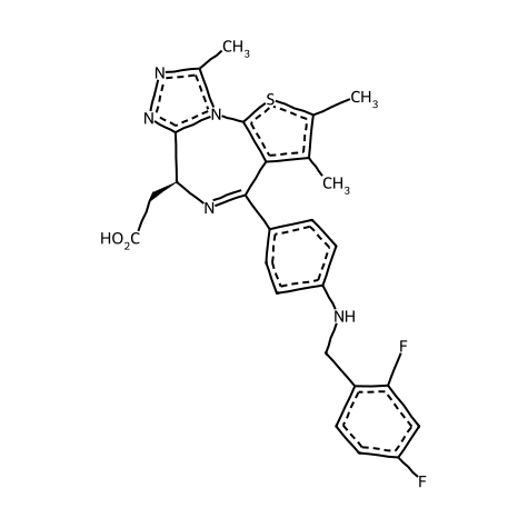 Cc1sc2c(c1C)C(c1ccc(NCc3ccc(F)cc3F)cc1)=N[C@@H](CC(=O)O)c1nnc(C)n1-2